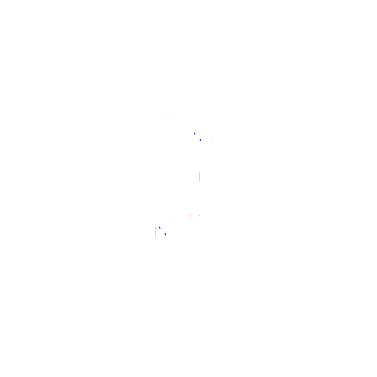 O=C(Nc1ccccc1)c1cccc(C(=O)Nc2ccccc2)c1Cl